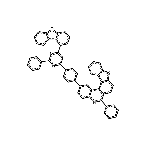 c1ccc(-c2nc(-c3ccc(-c4ccc5nc(-c6ccccc6)c6ccc7sc8ccccc8c7c6c5c4)cc3)cc(-c3cccc4oc5ccccc5c34)n2)cc1